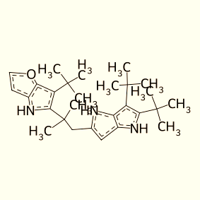 CC(C)(C)c1[nH]c2cc(CC(C)(C)c3[nH]c4ccoc4c3C(C)(C)C)[nH]c2c1C(C)(C)C